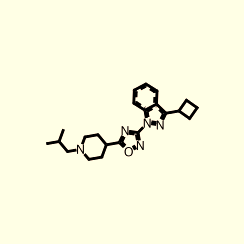 CC(C)CN1CCC(c2nc(-n3nc(C4CCC4)c4ccccc43)no2)CC1